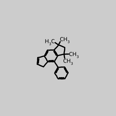 CC1(C)CC(C)(C)c2c1cc1c(c2-c2ccccc2)CC=C1